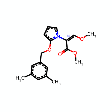 CO/C=C(\C(=O)OC)n1cccc1OCc1cc(C)cc(C)c1